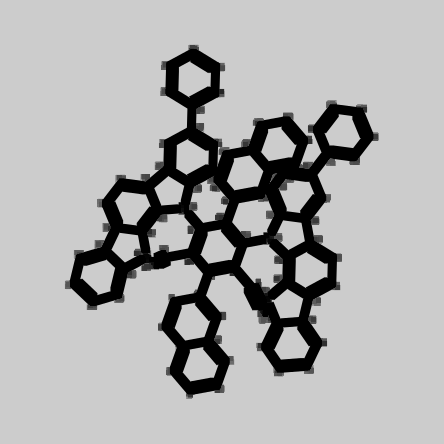 N#Cc1c(-c2ccc3ccccc3c2)c(C#N)c(-n2c3ccc(-c4ccccc4)cc3c3ccc4c5ccccc5sc4c32)c(-c2ccc3ccccc3c2)c1-n1c2ccc(-c3ccccc3)cc2c2ccc3c4ccccc4sc3c21